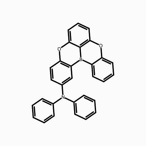 c1ccc(N(c2ccccc2)c2ccc3c(c2)B2c4ccccc4Oc4cccc(c42)O3)cc1